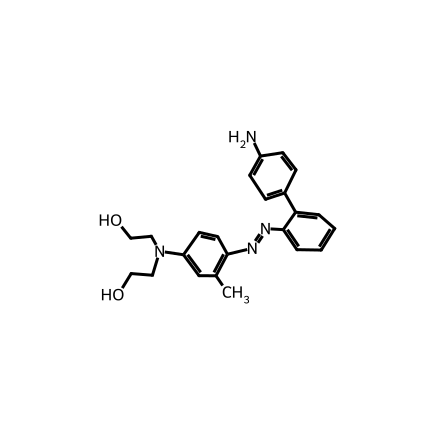 Cc1cc(N(CCO)CCO)ccc1N=Nc1ccccc1-c1ccc(N)cc1